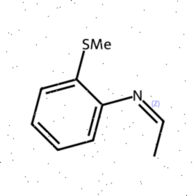 C/C=N\c1ccccc1SC